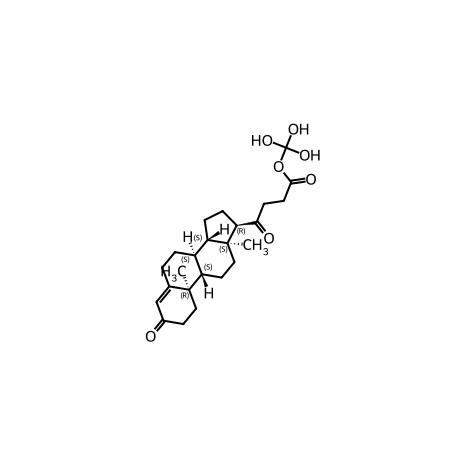 C[C@]12CC[C@H]3[C@@H](CCC4=CC(=O)CC[C@@]43C)[C@@H]1CC[C@H]2C(=O)CCC(=O)OC(O)(O)O